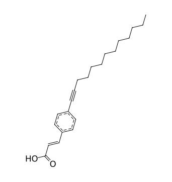 CCCCCCCCCCCC#Cc1ccc(C=CC(=O)O)cc1